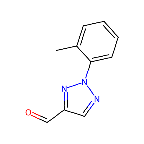 Cc1ccccc1-n1ncc(C=O)n1